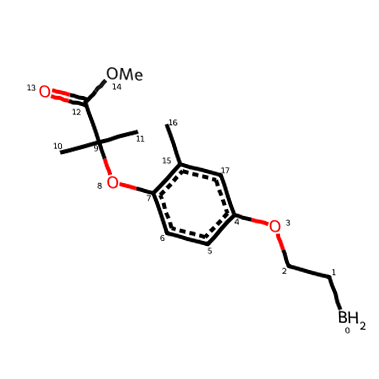 BCCOc1ccc(OC(C)(C)C(=O)OC)c(C)c1